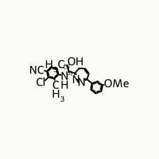 COc1cccc(C2=NN=C([C@H](Nc3ccc(C#N)c(Cl)c3C)[C@H](C)O)CC=C2)c1